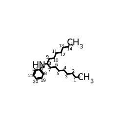 CCCCCCCCC(CCCCCCC)Nc1ccccc1